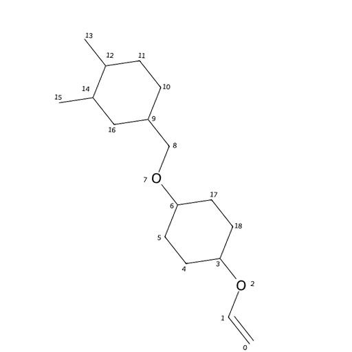 C=COC1CCC(OCC2CCC(C)C(C)C2)CC1